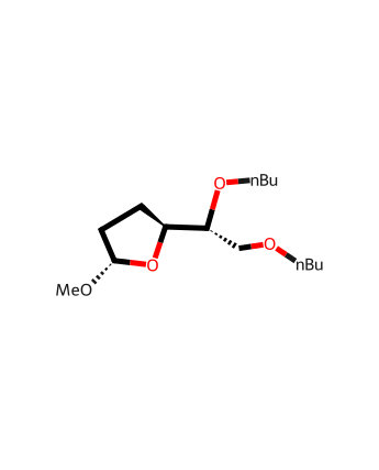 CCCCOC[C@@H](OCCCC)[C@@H]1CC[C@@H](OC)O1